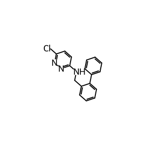 Clc1ccc(NCc2ccccc2-c2ccccc2)nn1